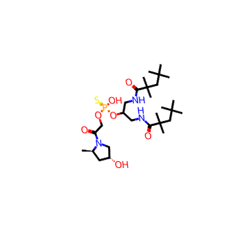 C[C@@H]1C[C@@H](O)CN1C(=O)COP(O)(=S)OC(CNC(=O)C(C)(C)CC(C)(C)C)CNC(=O)C(C)(C)CC(C)(C)C